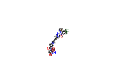 CC(C)(C(=O)Nc1ccc(C(F)(F)F)cc1-c1nccs1)n1cc(C#CC2CN(c3ccc4c(c3)C(=O)N(C3CCC(=O)NC3=O)C4=O)C2)cn1